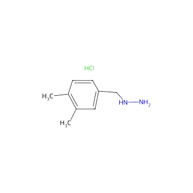 Cc1ccc(CNN)cc1C.Cl